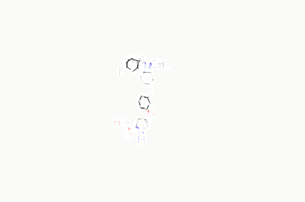 CN(C)[C@]1(c2cccc(F)c2)CC[C@@H](Cc2cccc(O[C@@H]3CN[C@H](C(=O)O)C3)c2)CC1